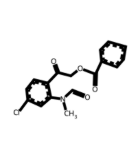 CN(C=O)c1cc(Cl)ccc1C(=O)COC(=O)c1ccccc1